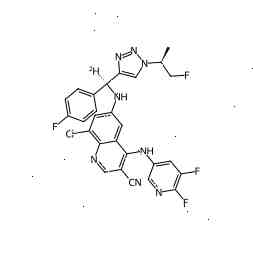 [2H][C@](Nc1cc(Cl)c2ncc(C#N)c(Nc3cnc(F)c(F)c3)c2c1)(c1ccc(F)cc1)c1cn([C@@H](C)CF)nn1